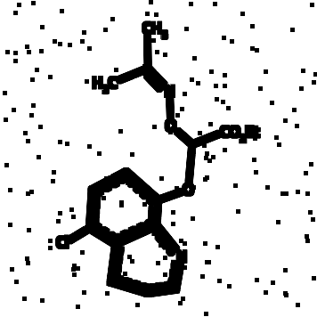 CCOC(=O)C(ON=C(C)C)Oc1ccc(Cl)c2cccnc12